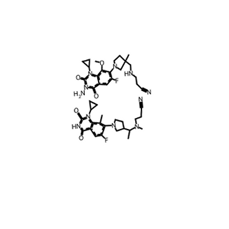 COc1c(N2CCC(C)(CNCCC#N)C2)c(F)cc2c(=O)n(N)c(=O)n(C3CC3)c12.Cc1c(N2CCC(C(C)N(C)CCC#N)C2)c(F)cc2c(=O)[nH]c(=O)n(C3CC3)c12